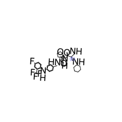 N=C/C(=C\NC1CCCCC1)C(=O)N[C@@]1(C(=O)NCc2ccc(Nc3ccc(F)cc3C(F)(F)F)cc2)CCOC1